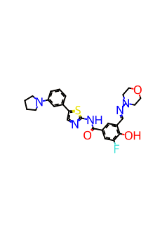 O=C(Nc1ncc(-c2cccc(N3CCCC3)c2)s1)c1cc(F)c(O)c(C=NN2CCOCC2)c1